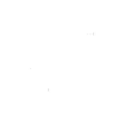 O=C(O)CC(=O)CC(=O)OI